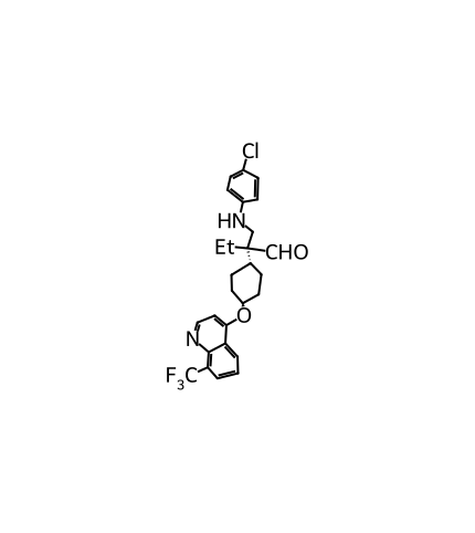 CCC(C=O)(CNc1ccc(Cl)cc1)[C@H]1CC[C@H](Oc2ccnc3c(C(F)(F)F)cccc23)CC1